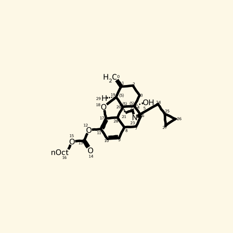 C=C1CC[C@@]2(O)C3CC4C=CC(OC(=O)OCCCCCCCC)=C5O[C@@H]1[C@]2(CCN3CC1CC1)C54